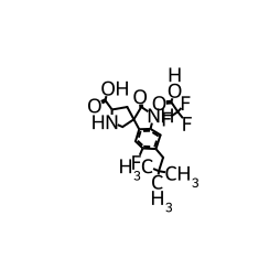 CC(C)(C)Cc1cc2c(cc1F)C1(CNC(C(=O)O)C1)C(=O)N2.O=C(O)C(F)(F)F